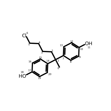 CC(CCCCCl)(c1ccc(O)cc1)c1ccc(O)cc1